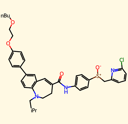 CCCCOCCOc1ccc(-c2ccc3c(c2)C=C(C(=O)Nc2ccc([S+]([O-])Cc4cccc(Cl)n4)cc2)CCN3CC(C)C)cc1